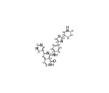 O=c1[nH]ccc2cc(-c3cncnc3)nc(Nc3ccc(-c4csc(C5CCCNC5)n4)cc3)c12